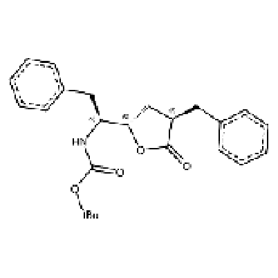 CC(C)(C)OC(=O)N[C@@H](Cc1ccccc1)[C@@H]1C[C@@H](Cc2ccccc2)C(=O)O1